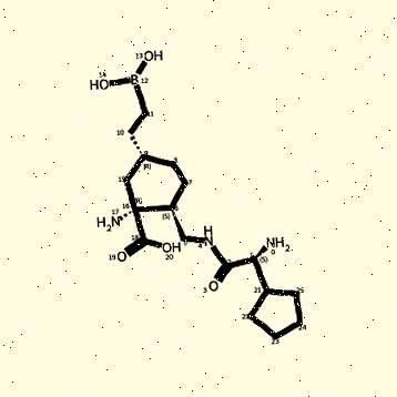 N[C@H](C(=O)NC[C@@H]1CC[C@@H](CCB(O)O)C[C@]1(N)C(=O)O)C1CCCC1